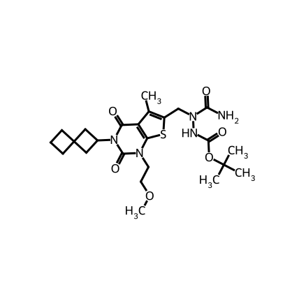 COCCn1c(=O)n(C2CC3(CCC3)C2)c(=O)c2c(C)c(CN(NC(=O)OC(C)(C)C)C(N)=O)sc21